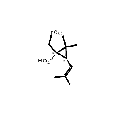 CCCCCCCCC[C@]1(C(=O)O)[C@H](C=C(C)C)C1(C)C